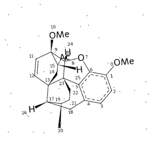 COc1ccc2c3c1O[C@H]1[C@@]4(OC)C=C[C@@]5(C[C@H]4C(C)=O)[C@@H](C2)[C@H](C)CC[C@]315